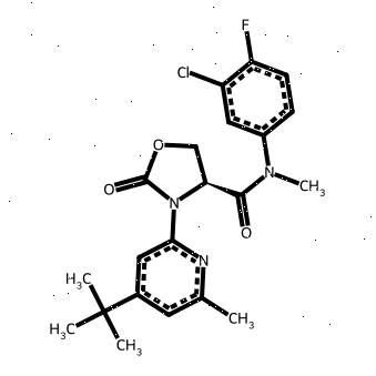 Cc1cc(C(C)(C)C)cc(N2C(=O)OC[C@H]2C(=O)N(C)c2ccc(F)c(Cl)c2)n1